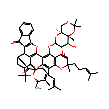 COC(=O)/C(C)=C\CC12OC(C)(C)C3CC(C1=O)C1C4=C(OC5=C1C32Oc1c(CC=C(C)C)c2c(c(O[C@H]3O[C@H]6COC(C)(C)O[C@@H]6[C@@H](O)[C@@H]3O)c15)C=CC(C)(CCC=C(C)C)O2)c1ccccc1C4=O